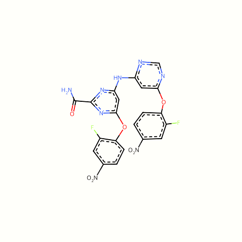 NC(=O)c1nc(Nc2cc(Oc3ccc([N+](=O)[O-])cc3F)ncn2)cc(Oc2ccc([N+](=O)[O-])cc2F)n1